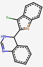 Fc1c(C2NC=Nc3ccccc32)sc2ccccc12